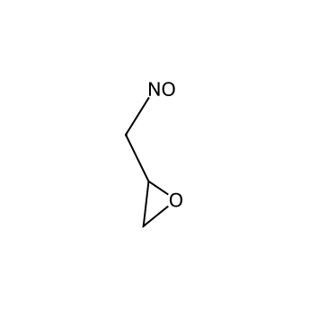 O=NCC1CO1